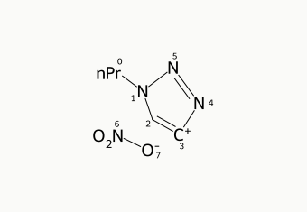 CCCN1C=[C+]N=N1.O=[N+]([O-])[O-]